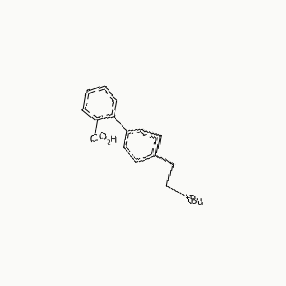 CC(C)(C)CCc1ccc(-c2ccccc2C(=O)O)cc1